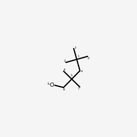 CC(C)(C)CC(C)(C)C[O]